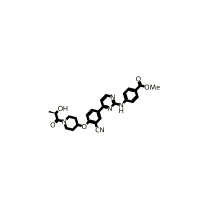 COC(=O)c1ccc(Nc2nccc(-c3ccc(OC4CCN(C(=O)[C@@H](C)O)CC4)c(C#N)c3)n2)cc1